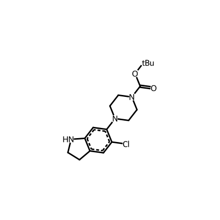 CC(C)(C)OC(=O)N1CCN(c2cc3c(cc2Cl)CCN3)CC1